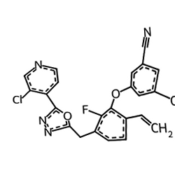 C=Cc1ccc(Cc2nnc(-c3ccncc3Cl)o2)c(F)c1Oc1cc(Cl)cc(C#N)c1